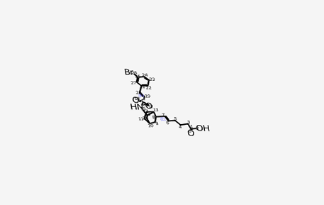 O=C(O)CCC/C=C/C1CC2CCC1C(NS(=O)(=O)/C=C/c1cccc(Br)c1)C2